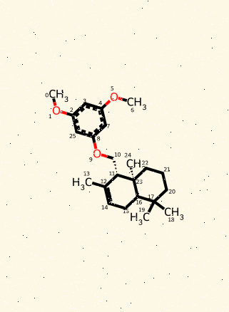 COc1cc(OC)cc(OC[C@H]2C(C)=CCC3C(C)(C)CCC[C@@]32C)c1